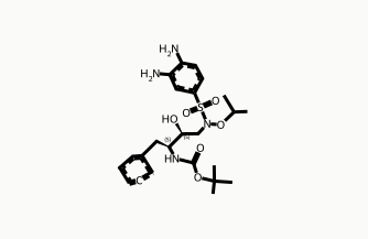 CC(C)ON(C[C@H](O)[C@H](Cc1ccccc1)NC(=O)OC(C)(C)C)S(=O)(=O)c1ccc(N)c(N)c1